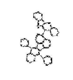 c1ccc(-c2c3c(c(-c4ccccc4)c4ccccc24)-c2ccc(-c4c5ccccc5cc5c4sc4ccccc45)c4cccc-3c24)cc1